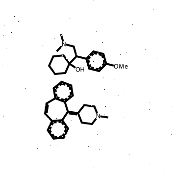 CN1CCC(=C2c3ccccc3C=Cc3ccccc32)CC1.COc1ccc(C(CN(C)C)C2(O)CCCCC2)cc1